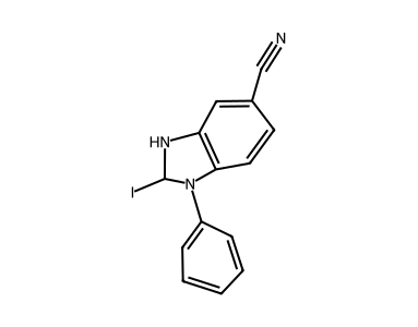 N#Cc1ccc2c(c1)NC(I)N2c1ccccc1